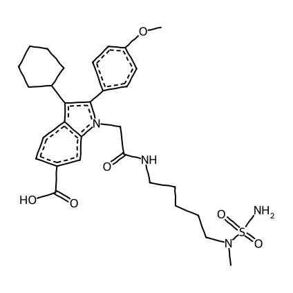 COc1ccc(-c2c(C3CCCCC3)c3ccc(C(=O)O)cc3n2CC(=O)NCCCCCN(C)S(N)(=O)=O)cc1